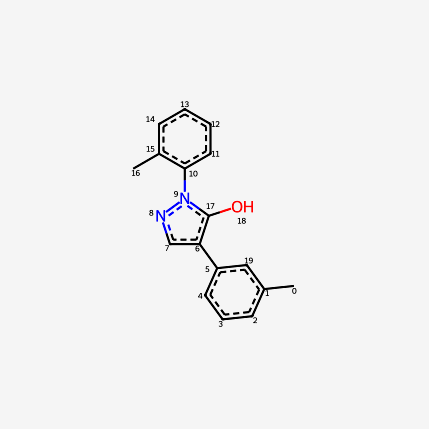 Cc1cccc(-c2cnn(-c3ccccc3C)c2O)c1